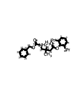 CC(C)c1cccc(C(C)C)c1OC(=O)CC(C)(C)CNC(=O)OCc1ccccc1